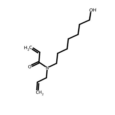 C=CCN(CCCCCCCO)C(=O)C=C